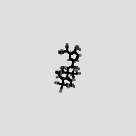 C=C(CC(OC)(C(=C/C)/C(=N\C)C(F)(F)F)C(F)(F)F)c1ccc(C)c(C(C)=O)c1